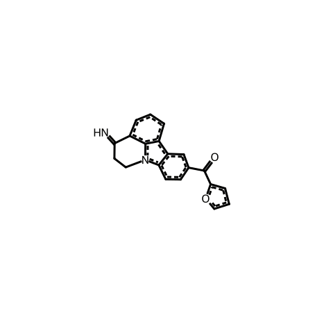 N=C1CCn2c3ccc(C(=O)c4ccco4)cc3c3cccc1c32